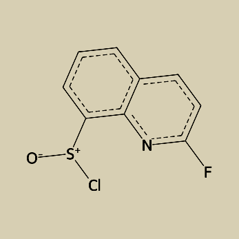 [O-][S+](Cl)c1cccc2ccc(F)nc12